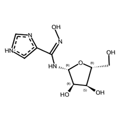 OC[C@H]1O[C@@H](NC(=NO)c2c[nH]cn2)[C@H](O)[C@@H]1O